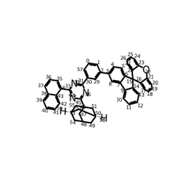 c1cc(-c2ccc3c(c2)-c2ccccc2C32c3ccccc3Oc3ccccc32)cc(-c2nc(-c3cccc4ccccc34)nc(C34CC5C[C@H](C3)C[C@@H](C5)C4)n2)c1